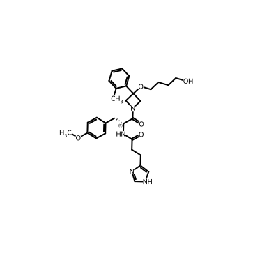 COc1ccc(C[C@@H](NC(=O)CCc2c[nH]cn2)C(=O)N2CC(OCCCCO)(c3ccccc3C)C2)cc1